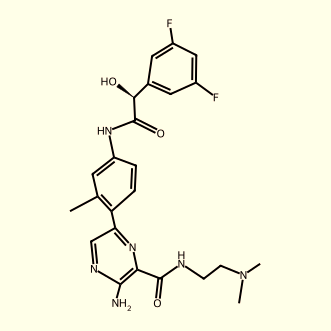 Cc1cc(NC(=O)[C@@H](O)c2cc(F)cc(F)c2)ccc1-c1cnc(N)c(C(=O)NCCN(C)C)n1